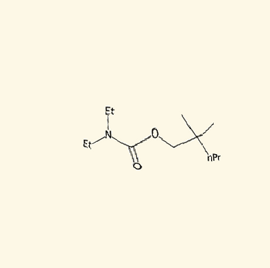 CCCC(C)(C)COC(=O)N(CC)CC